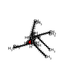 CCCCCCCCCCCCCCCC(=O)OC(CCCCCCCCCCCC(C)C)CC(=O)NC1[C@H](OCC2O[C@H](OP(C)(=O)O)C(NC(=O)CC(O)CCCCCCCCCCCC(C)C)[C@@H](OC(=O)CC(O)CCCCCCCCCCCCC)[C@@H]2O)OC(CO)[C@@H](O)[C@@H]1OC(=O)CC(O)CCCCCCCCCC(C)C